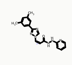 Cc1cc(C)cc(-c2ncn(/C=C\C(=O)NNc3ccccn3)n2)c1